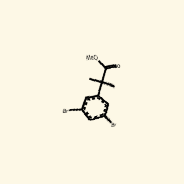 COC(=O)C(C)(C)c1cc(Br)cc(Br)c1